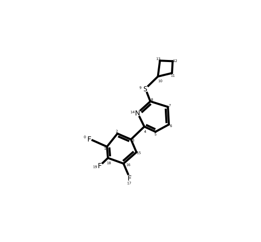 Fc1cc(-c2cccc(SC3CCC3)n2)cc(F)c1F